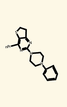 [CH2]CCc1nc(N2CCN(c3ccccc3)CC2)nc2c1SCC2